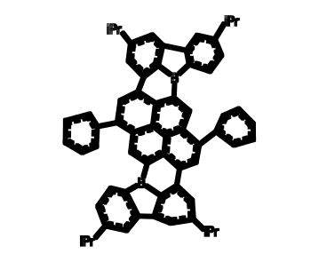 CC(C)c1ccc2c(c1)-c1cc(C(C)C)cc3c1B2c1cc2c(-c4ccccc4)cc4c5c(cc6c(-c7ccccc7)cc-3c1c6c25)B1c2ccc(C(C)C)cc2-c2cc(C(C)C)cc-4c21